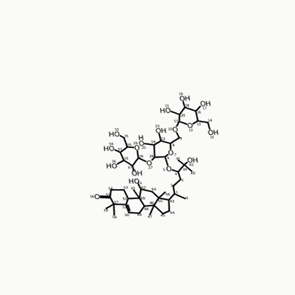 CC(CCC(OC1OC(COC2OC(CO)C(O)C(O)C2O)C(O)C(O)C1OC1OC(CO)C(O)C(O)C1O)C(C)(C)O)C1CCC2(C)C3CC=C4C(CCC(=O)C4(C)C)C3(C)C(O)CC12C